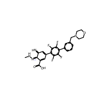 CN/N=C1\C(=N)C=C(c2c(F)c(F)c(-c3cccc(CN4CCOCC4)c3)c(F)c2F)C=C1C(=O)O